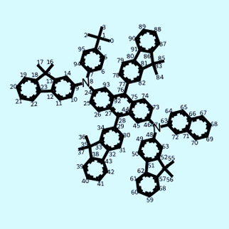 CC(C)(C)c1ccc(N(c2ccc3c(c2)C(C)(C)c2ccccc2-3)c2ccc3c(-c4ccc5c(c4)C(C)(C)c4ccccc4-5)c4cc(N(c5ccc6c(c5)C(C)(C)c5ccccc5-6)c5ccc6ccccc6c5)ccc4c(-c4ccc5c(c4)C(C)(C)c4ccccc4-5)c3c2)cc1